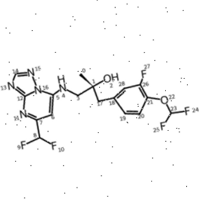 C[C@](O)(CNc1cc(C(F)F)nc2ncnn12)Cc1ccc(OC(F)F)c(F)c1